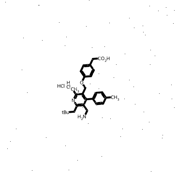 Cc1ccc(-c2c(COc3ccc(CC(=O)O)cc3)c(C)nc(CC(C)(C)C)c2CN)cc1.Cl.Cl